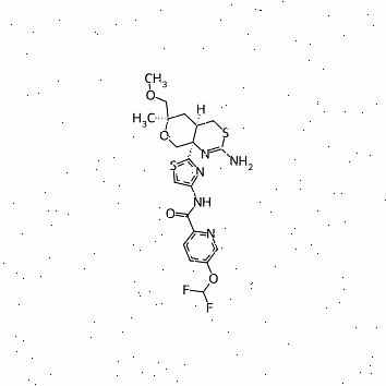 COC[C@@]1(C)C[C@H]2CSC(N)=N[C@@]2(c2nc(NC(=O)c3ccc(OC(F)F)cn3)cs2)CO1